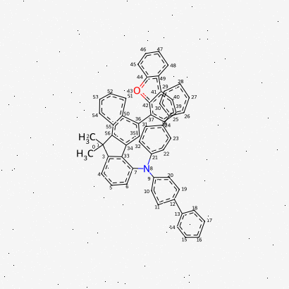 CC1(C)c2cccc(N(c3ccc(-c4ccccc4)cc3)c3ccc(-c4ccccc4)cc3)c2-c2cc(-c3cccc4c3oc3ccccc34)c3ccccc3c21